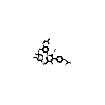 CC/C=C(/N=C\C1=CN(c2ccc(/N=C\C(C)C)c(C)c2)C(=C=O)C(c2ccc(OC(F)F)cc2)=C1C)OCC(F)(F)F